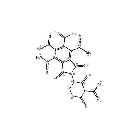 NC(=O)c1c(C(N)=O)c(C(N)=O)c2c(c1C(N)=O)C(=O)N(C1CCC(=O)N(C(N)=O)C1=O)C2=O